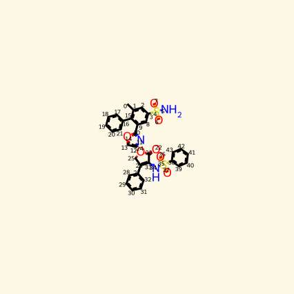 Cc1cc(S(N)(=O)=O)cc(-c2ncco2)c1-c1ccccc1.O=C1OCC(c2ccccc2)=C1NS(=O)(=O)c1ccccc1